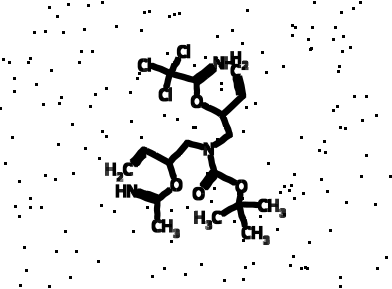 C=CC(CN(CC(C=C)OC(=N)C(Cl)(Cl)Cl)C(=O)OC(C)(C)C)OC(C)=N